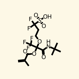 C=C(C)C(=O)OC(OCCC(F)(F)S(=O)(=O)O)(C(=O)NC(C)(C)C)C(F)(F)F